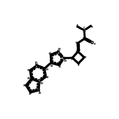 CN(C)C(=O)/C=C1\CCC1n1cc(-c2cn3nccc3cn2)cn1